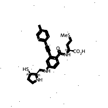 CSCC[C@H](NC(=O)c1ccc(NC[C@H]2NCC[C@H]2S)cc1C#Cc1ccc(C)cc1)C(=O)O